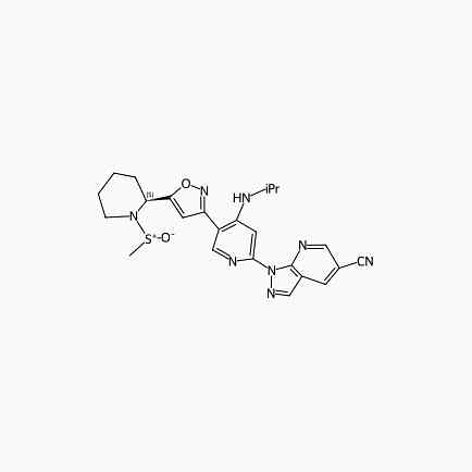 CC(C)Nc1cc(-n2ncc3cc(C#N)cnc32)ncc1-c1cc([C@@H]2CCCCN2[S+](C)[O-])on1